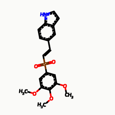 COc1cc(S(=O)(=O)C=Cc2ccc3[nH]ccc3c2)cc(OC)c1OC